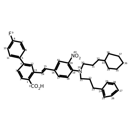 O=C(O)c1ccc(-c2ccc(F)cc2)cc1C=Cc1ccc(N(CCCc2ccccc2)CCCC2CCCCC2)c([N+](=O)[O-])c1